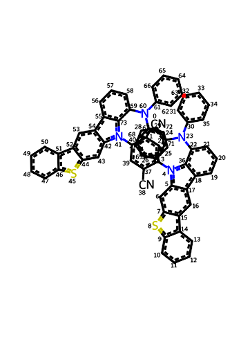 N#Cc1cc(-n2c3cc4sc5ccccc5c4cc3c3cccc(N(c4ccccc4)c4ccccc4)c32)c(C#N)cc1-n1c2cc3sc4ccccc4c3cc2c2cccc(N(c3ccccc3)c3ccccc3)c21